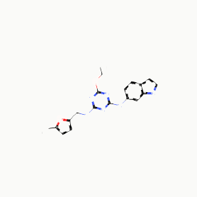 Cc1ccc(CNc2nc(Nc3ccc4cc[nH]c4c3)nc(OCC(F)(F)F)n2)o1